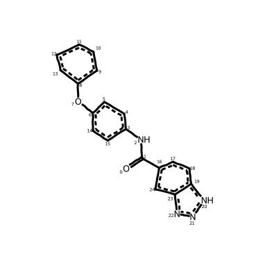 O=C(Nc1ccc(Oc2ccccc2)cc1)c1ccc2[nH]nnc2c1